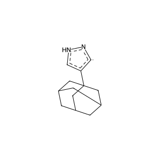 [c]1n[nH]cc1C12CC3CC(CC(C3)C1)C2